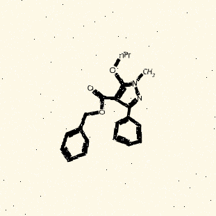 CCCOc1c(C(=O)OCc2ccccc2)c(-c2ccccc2)nn1C